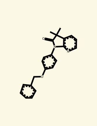 CC1(C)C(=O)N(c2ccc(OCc3ccccc3)cc2)c2ncccc21